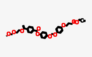 C=C=COOCCCOc1ccc(OCOc2ccc(OC(=O)c3ccc(C(=C)OCCOCOC)cc3)cc2)cc1